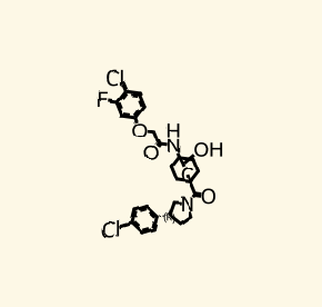 O=C(COc1ccc(Cl)c(F)c1)NC12CCC(C(=O)N3CC[C@H](c4ccc(Cl)cc4)C3)(CC1)CC2O